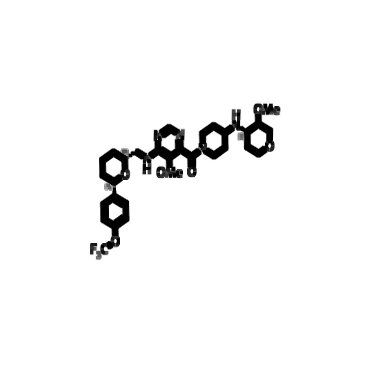 COc1c(NC[C@H]2CCC[C@@H](c3ccc(OC(F)(F)F)cc3)O2)ncnc1C(=O)N1CCC(N[C@H]2CCOCC2OC)CC1